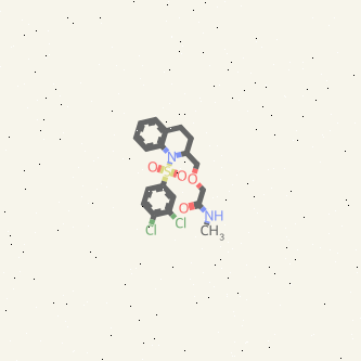 CNC(=O)COCC1CCc2ccccc2N1S(=O)(=O)c1ccc(Cl)c(Cl)c1